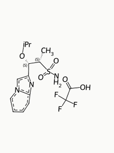 CC(C)O[C@@H](c1cn2ccccc2n1)[C@H](C)S(N)(=O)=O.O=C(O)C(F)(F)F